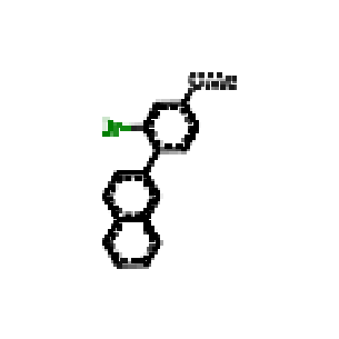 COc1ccc(-c2ccc3ccccc3c2)c(Br)c1